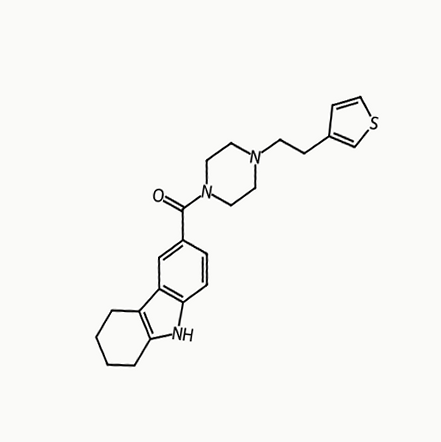 O=C(c1ccc2[nH]c3c(c2c1)CCCC3)N1CCN(CCc2ccsc2)CC1